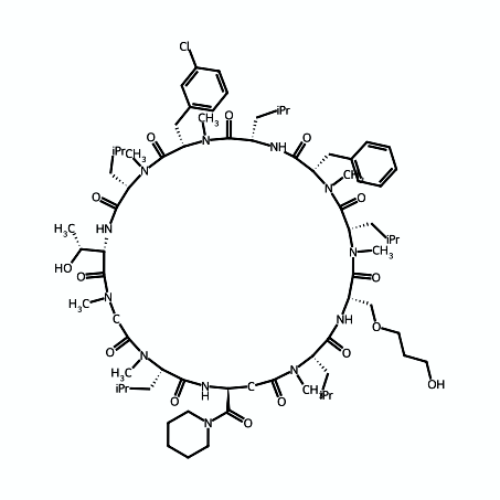 CC(C)C[C@@H]1NC(=O)[C@H](Cc2ccccc2)N(C)C(=O)[C@H](CC(C)C)N(C)C(=O)[C@H](COCCCO)NC(=O)[C@H](CC(C)C)N(C)C(=O)C[C@@H](C(=O)N2CCCCC2)NC(=O)[C@H](CC(C)C)N(C)C(=O)CN(C)C(=O)[C@H]([C@@H](C)O)NC(=O)[C@H](CC(C)C)N(C)C(=O)[C@H](Cc2cccc(Cl)c2)N(C)C1=O